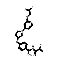 C[C@H](NC(=O)C(F)F)c1ccc(OC2CCN(c3ccnc(OCC(F)F)c3)C2)cc1